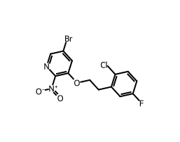 O=[N+]([O-])c1ncc(Br)cc1OCCc1cc(F)ccc1Cl